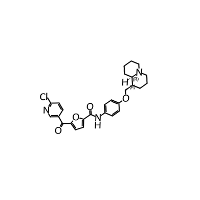 O=C(Nc1ccc(OC[C@@H]2CCCN3CCCC[C@H]23)cc1)c1ccc(C(=O)c2ccc(Cl)nc2)o1